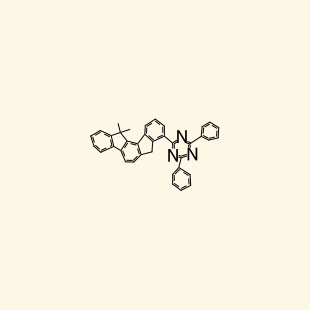 CC1(C)c2ccccc2-c2ccc3c(c21)-c1cccc(-c2nc(-c4ccccc4)nc(-c4ccccc4)n2)c1C3